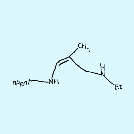 CCCCCN/C=C(/C)CNCC